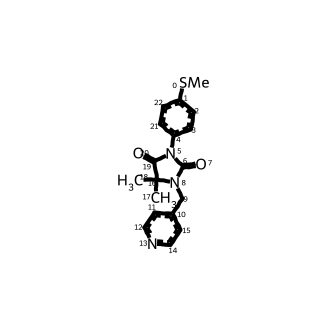 CSc1ccc(N2C(=O)N(Cc3ccncc3)C(C)(C)C2=O)cc1